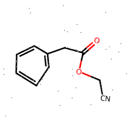 N#CCOC(=O)Cc1ccccc1